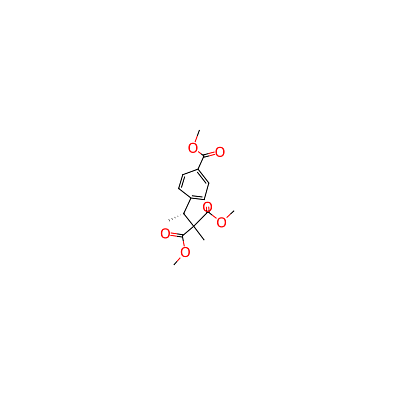 COC(=O)c1ccc([C@@H](C)C(C)(C(=O)OC)C(=O)OC)cc1